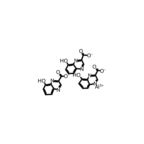 O=C([O-])c1cnc2cccc(O)c2n1.O=C([O-])c1cnc2cccc(O)c2n1.O=C([O-])c1cnc2cccc(O)c2n1.[Al+3]